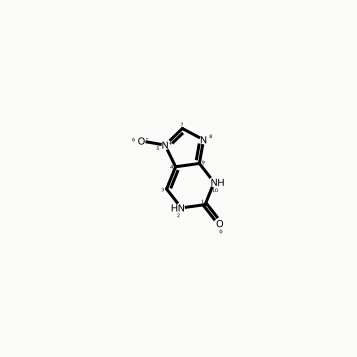 O=c1[nH]cc2[n+]([O-])cnc-2[nH]1